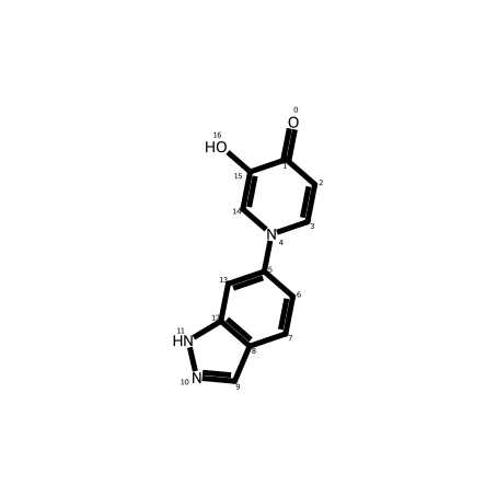 O=c1ccn(-c2ccc3cn[nH]c3c2)cc1O